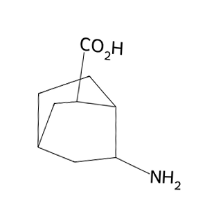 NC1CC2CCC1C(C(=O)O)C2